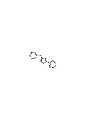 [c]1ccc(Cn2cc(-c3ncccn3)cn2)cc1